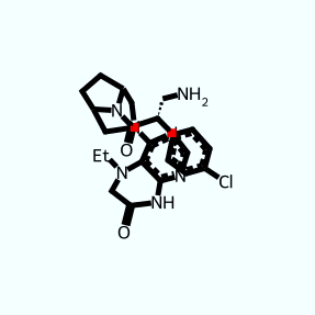 CCN1CC(=O)Nc2ncnc(N3CC4CCC(C3)N4C(=O)[C@H](CN)c3ccc(Cl)cc3)c21